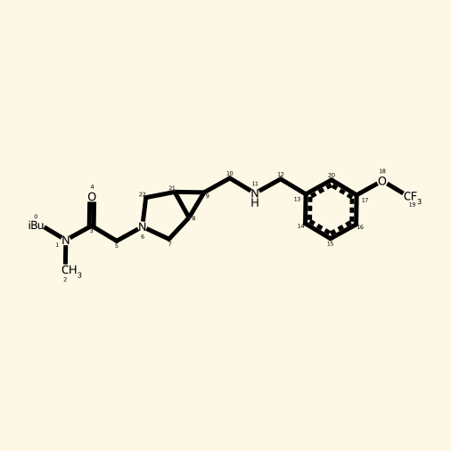 CCC(C)N(C)C(=O)CN1CC2C(CNCc3cccc(OC(F)(F)F)c3)C2C1